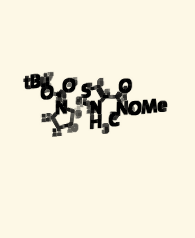 CON(C)C(=O)c1csc([C@@H]2CCCN2C(=O)OC(C)(C)C)n1